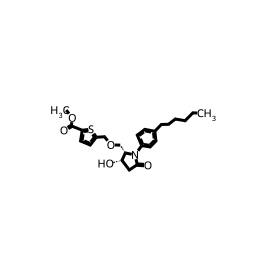 CCCCCCc1ccc(N2C(=O)C[C@H](O)[C@@H]2COCc2ccc(C(=O)OC)s2)cc1